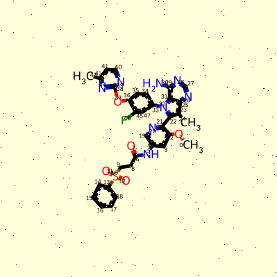 COc1cc(NC(=O)CCS(=O)(=O)c2ccccc2)cnc1-c1c(C)c2ncnc(N)c2n1-c1ccc(Oc2nccc(C)n2)c(F)c1